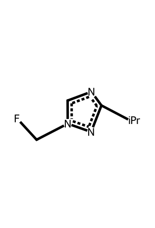 CC(C)c1ncn(CF)n1